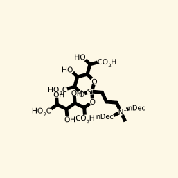 CCCCCCCCCC[N+](C)(CCCCCCCCCC)CCC[Si]1(OC(C(=O)O)C(O)C(O)C(O)C(=O)O)OC(C(=O)O)C(O)C(C(O)C(=O)O)O1